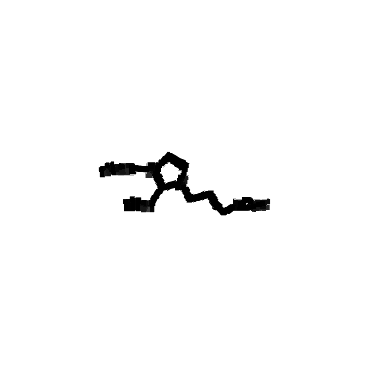 CCCCCCCCCCCCCN1C=CN(CCCCCCCCC)C1CCCCCCCCC